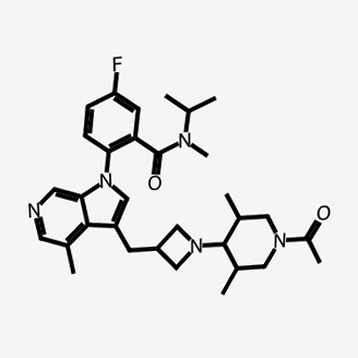 CC(=O)N1CC(C)C(N2CC(Cc3cn(-c4ccc(F)cc4C(=O)N(C)C(C)C)c4cncc(C)c34)C2)C(C)C1